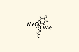 COC(CCCCl)(OC)c1ccc(F)cc1